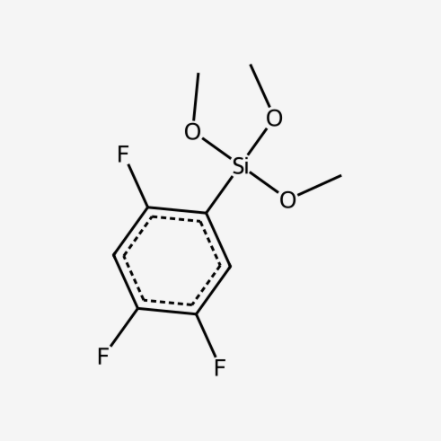 CO[Si](OC)(OC)c1cc(F)c(F)cc1F